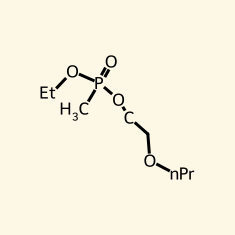 CCCOCCOP(C)(=O)OCC